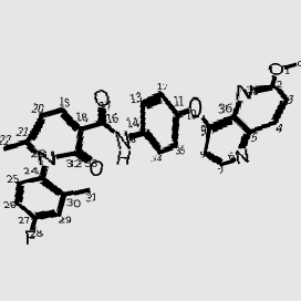 COc1ccc2nccc(Oc3ccc(NC(=O)c4ccc(C)n(-c5ccc(F)cc5C)c4=O)cc3)c2n1